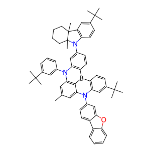 Cc1cc2c3c(c1)N(c1ccc4c(c1)oc1ccccc14)c1cc(C(C)(C)C)ccc1B3c1ccc(N3c4ccc(C(C)(C)C)cc4C4(C)CCCCC34C)cc1N2c1cccc(C(C)(C)C)c1